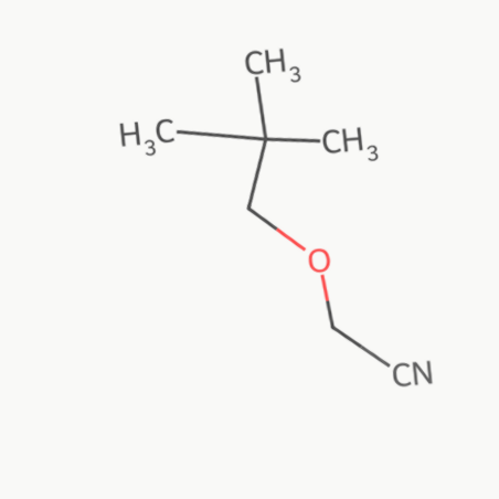 CC(C)(C)COCC#N